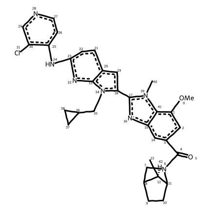 COc1cc(C(=O)N2CC3CCC2[C@@H]3C)cc2nc(-c3cc4ccc(Nc5ccncc5Cl)nc4n3CC3CC3)n(C)c12